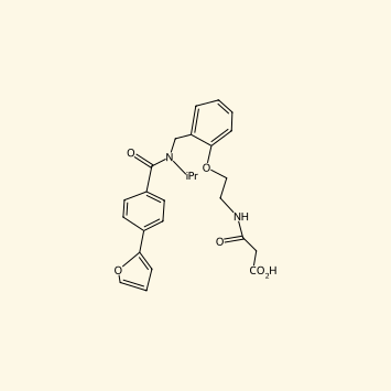 CC(C)N(Cc1ccccc1OCCNC(=O)CC(=O)O)C(=O)c1ccc(-c2ccco2)cc1